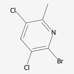 Cc1nc(Br)c(Cl)cc1Cl